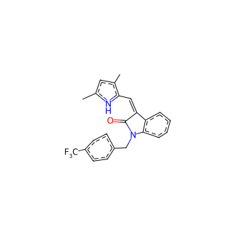 Cc1cc(C)c(/C=C2\C(=O)N(Cc3ccc(C(F)(F)F)cc3)c3ccccc32)[nH]1